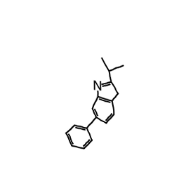 CC(C)C1=Nc2cc(-c3ccccc3)ccc2C1